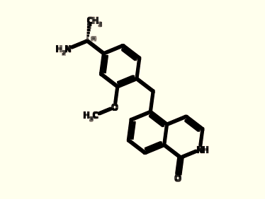 COc1cc([C@@H](C)N)ccc1Cc1cccc2c(=O)[nH]ccc12